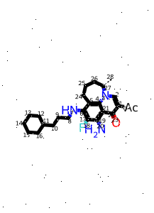 CC(=O)c1cn2c3c(c(NCCCC4CCCCC4)c(F)c(N)c3c1=O)CCC[C@@H]2C